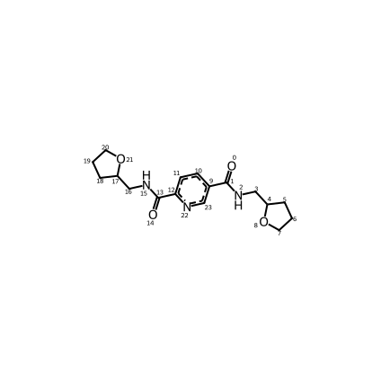 O=C(NCC1CCCO1)c1ccc(C(=O)NCC2CCCO2)nc1